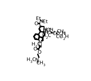 C=C(C)C(=O)O.C=CC(=O)O.C=CC(=O)OCCN(C)C.CCN(CC)C(=O)[C@@H]1C=C2c3cccc4[nH]cc(c34)C[C@H]2N(C)C1